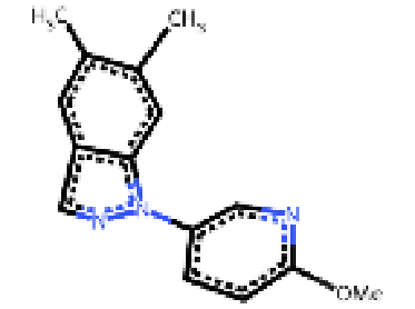 COc1ccc(-n2ncc3cc(C)c(C)cc32)cn1